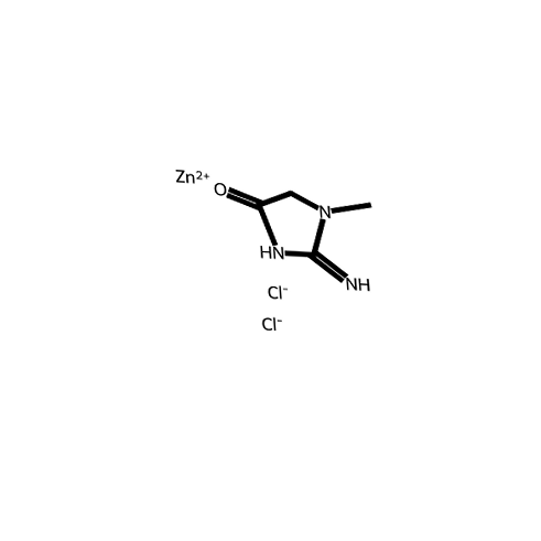 CN1CC(=O)NC1=N.[Cl-].[Cl-].[Zn+2]